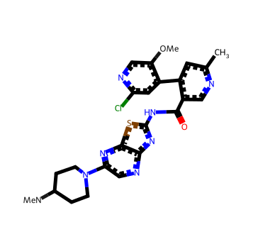 CNC1CCN(c2cnc3nc(NC(=O)c4cnc(C)cc4-c4cc(Cl)ncc4OC)sc3n2)CC1